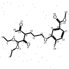 CCOC(OCC)C(=O)C(CCCOc1cc(C(=O)OC)ccc1F)C(C)=O